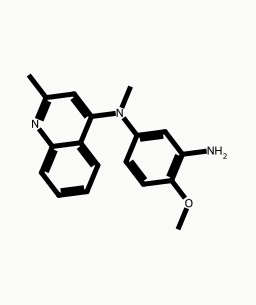 COc1ccc(N(C)c2cc(C)nc3ccccc23)cc1N